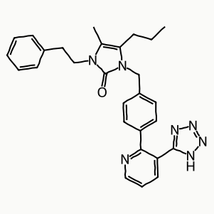 CCCc1c(C)n(CCc2ccccc2)c(=O)n1Cc1ccc(-c2ncccc2-c2nnn[nH]2)cc1